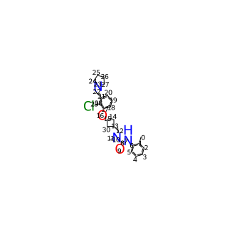 Cc1ccccc1NC(=O)N(C)CC1CC(Oc2cccc(CN3CCCC3)c2Cl)C1